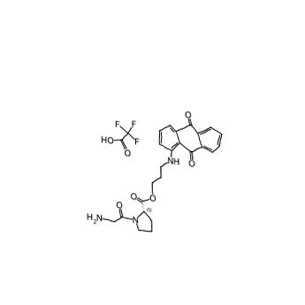 NCC(=O)N1CCC[C@H]1C(=O)OCCCNc1cccc2c1C(=O)c1ccccc1C2=O.O=C(O)C(F)(F)F